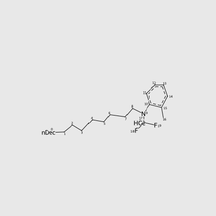 CCCCCCCCCCCCCCCCCC[N](c1ccccc1C)[GeH]([F])[F]